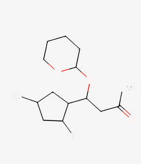 CCC1CC(CC)C(C(CC(=O)OC)OC2CCCCO2)C1